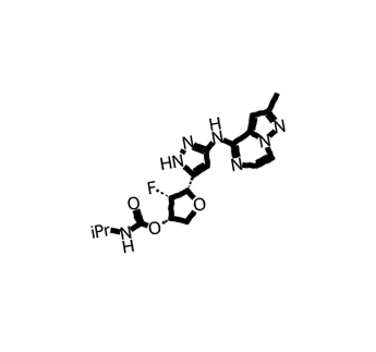 Cc1cc2c(Nc3cc([C@@H]4OC[C@H](OC(=O)NC(C)C)[C@@H]4F)[nH]n3)nccn2n1